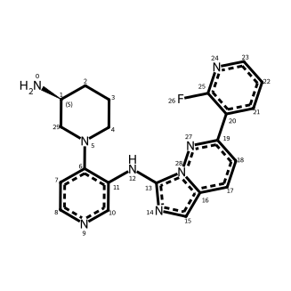 N[C@H]1CCCN(c2ccncc2Nc2ncc3ccc(-c4cccnc4F)nn23)C1